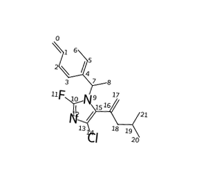 C=C/C=C\C(=C/C)C(C)n1c(F)nc(Cl)c1C(=C)CC(C)C